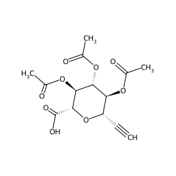 C#C[C@@H]1O[C@H](C(=O)O)[C@@H](OC(C)=O)[C@H](OC(C)=O)[C@H]1OC(C)=O